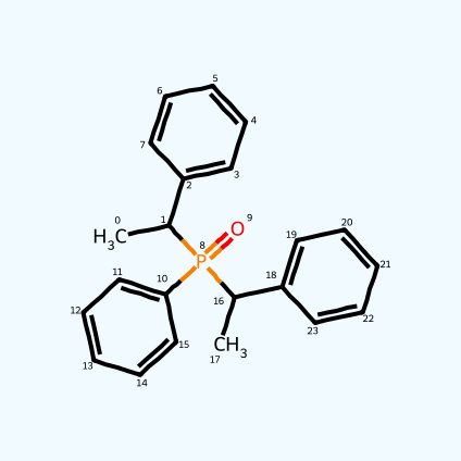 CC(c1ccccc1)P(=O)(c1ccccc1)C(C)c1ccccc1